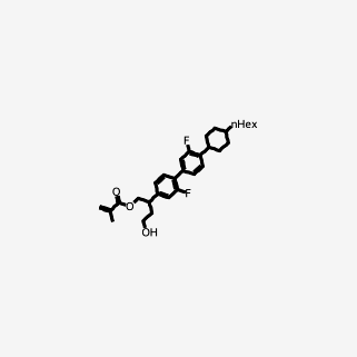 C=C(C)C(=O)OCC(CCO)c1ccc(-c2ccc(C3CCC(CCCCCC)CC3)c(F)c2)c(F)c1